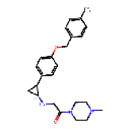 CN1CCN(C(=O)CN[C@H]2CC2c2ccc(OCc3ccc(C(F)(F)F)cc3)cc2)CC1